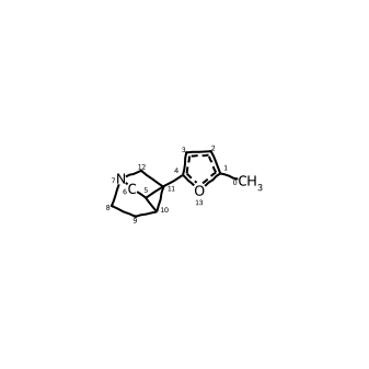 Cc1ccc(C2CN3CCC2CC3)o1